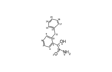 NC(=O)C(O)c1ccccc1Cc1ccccc1